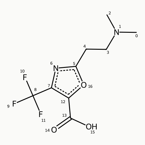 CN(C)CCc1nc(C(F)(F)F)c(C(=O)O)o1